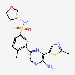 Cc1ncc(-c2nc(-c3cc(S(=O)(=O)N[C@@H]4CCOC4)ccc3C)cnc2N)s1